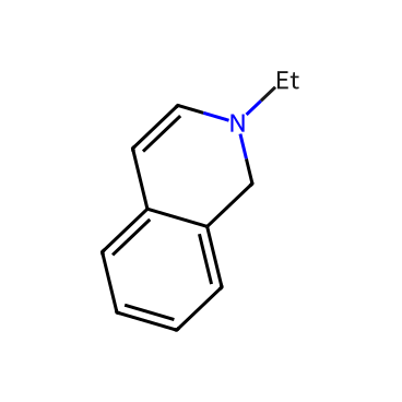 CCN1C=Cc2ccccc2C1